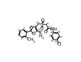 Cc1ccccc1-c1nc(CS(=O)(=O)CC(=O)Nc2ccc(Cl)cc2)c(C)o1